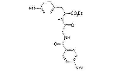 CCOC(=O)[C@H](Cc1ccc(O)cc1)NC(=O)CNC(=O)c1ccc(OC(C)=O)cc1